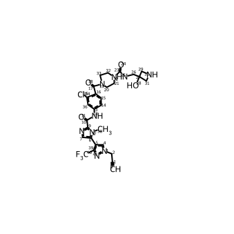 C#CCn1cc(-c2cnc(C(=O)Nc3ccc(C(=O)N4CCN(C(=O)NCC5(O)CNC5)CC4)c(Cl)c3)n2C)c(C(F)(F)F)n1